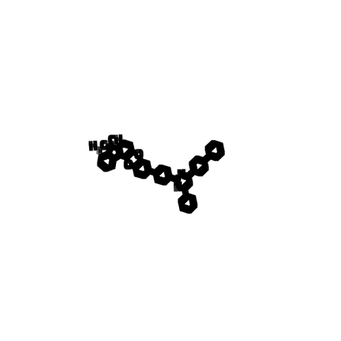 CC1(C)c2ccccc2-c2c1ccc1c2Oc2ccc(-c3ccc(-c4nc(-c5ccccc5)cc(-c5ccc(-c6ccccc6)cc5)n4)cc3)cc2O1